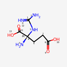 N=C(N)N[C@](N)(CCC(=O)O)C(=O)O